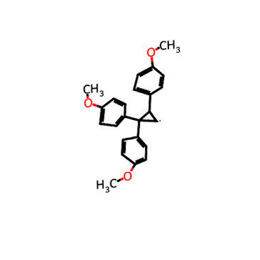 COc1ccc(C2[CH]C2(c2ccc(OC)cc2)c2ccc(OC)cc2)cc1